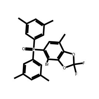 Cc1cc(C)cc(P(=O)(c2cc(C)cc(C)c2)c2cc(C)c3c(c2Br)OC(F)(F)O3)c1